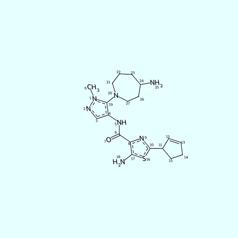 Cn1ncc(NC(=O)c2nc(C3C=CCC3)sc2N)c1N1CCCC(N)CC1